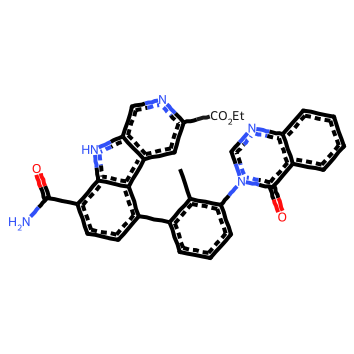 CCOC(=O)c1cc2c(cn1)[nH]c1c(C(N)=O)ccc(-c3cccc(-n4cnc5ccccc5c4=O)c3C)c12